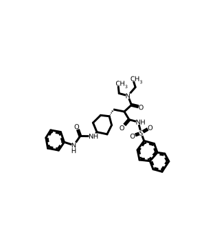 CCN(CC)C(=O)C(C[C@H]1CC[C@@H](NC(=O)Nc2ccccc2)CC1)C(=O)NS(=O)(=O)c1ccc2ccccc2c1